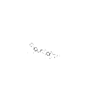 COc1cc(N(C)CCN(C)C)c(NC(C)=O)cc1Nc1nccc(C(=O)c2ccc(N3CCCCC3)cc2OC)n1